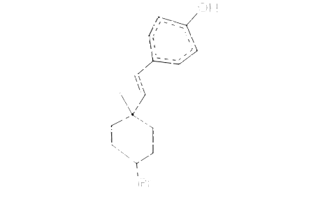 CC(C)C1CCC(C)(/C=C/c2ccc(O)cc2)CC1